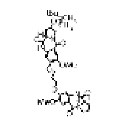 COc1cc2c(cc1OCCCOc1cc3c(cc1OC)C(=O)N1CC(O[Si](C)(C)C(C)(C)C)C[C@H]1C(=O)N3)NC(=O)[C@@H]1CCCN1C2=O